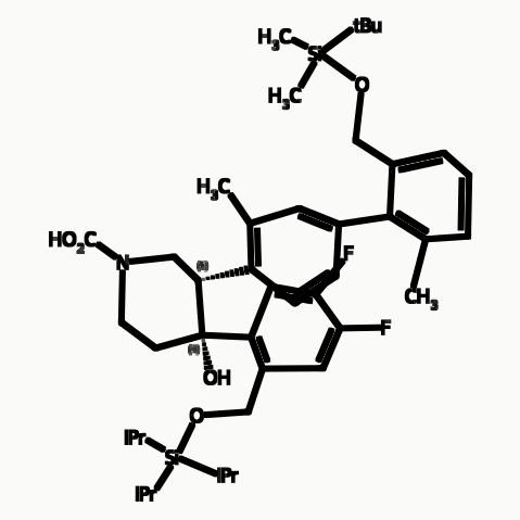 Cc1cc(-c2c(C)cccc2CO[Si](C)(C)C(C)(C)C)ccc1[C@H]1CN(C(=O)O)CC[C@]1(O)c1cc(F)c(F)cc1CO[Si](C(C)C)(C(C)C)C(C)C